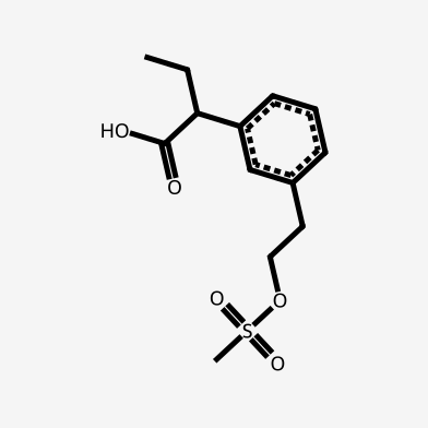 CCC(C(=O)O)c1cccc(CCOS(C)(=O)=O)c1